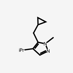 CC(C)c1cnn(C)c1CC1CC1